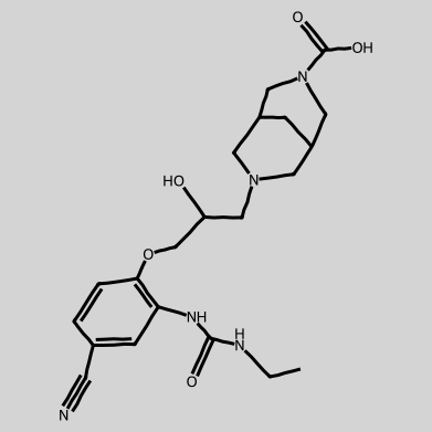 CCNC(=O)Nc1cc(C#N)ccc1OCC(O)CN1CC2CC(C1)CN(C(=O)O)C2